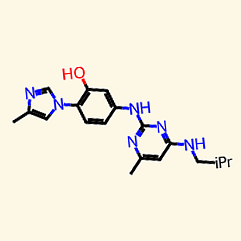 Cc1cn(-c2ccc(Nc3nc(C)cc(NCC(C)C)n3)cc2O)cn1